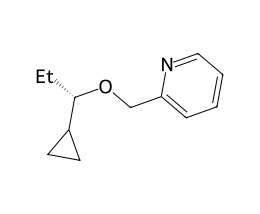 CC[C@H](OCc1ccccn1)C1CC1